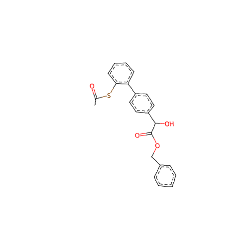 CC(=O)Sc1ccccc1-c1ccc(C(O)C(=O)OCc2ccccc2)cc1